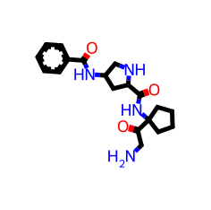 NCC(=O)C1(NC(=O)C2CC(NC(=O)c3ccccc3)CN2)CCCC1